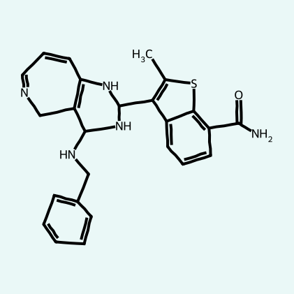 Cc1sc2c(C(N)=O)cccc2c1C1NC2=C(CN=CC=C2)C(NCc2ccccc2)N1